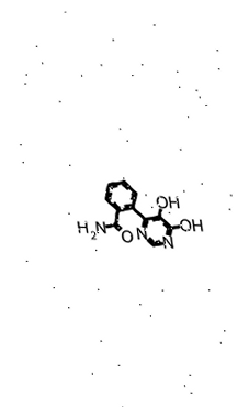 NC(=O)c1ccccc1-c1ncnc(O)c1O